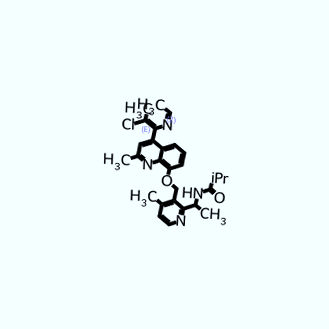 C/C=N\C(=C(/C)Cl)c1cc(C)nc2c(OCc3c(C)ccnc3C(C)NC(=O)C(C)C)cccc12